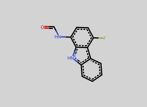 O=CNc1ccc(F)c2c1[nH]c1ccccc12